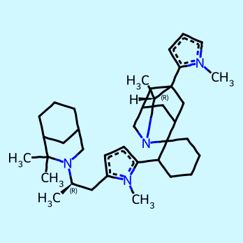 C[C@H](Cc1ccc(C2CCCCC23C2CC4CN3[C@H](C)C(c3cccn3C)(C4)C2)n1C)N1CC2CCCC(C2)C1(C)C